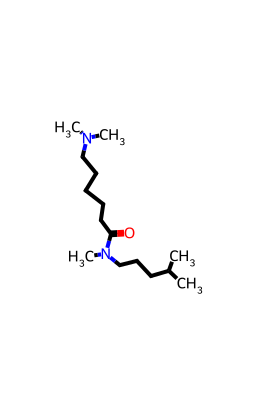 CC(C)CCCN(C)C(=O)CCCCCN(C)C